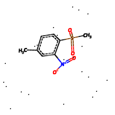 Cc1ccc(S(C)(=O)=O)c([N+](=O)[O-])c1